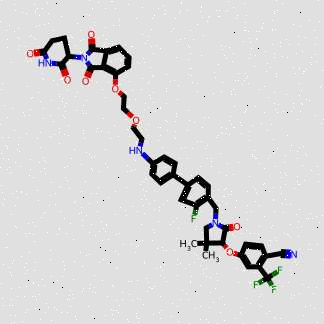 CC1(C)CN(Cc2ccc(-c3ccc(NCCOCCOc4cccc5c4C(=O)N(C4CCC(=O)NC4=O)C5=O)cc3)cc2F)C(=O)C1Oc1ccc(C#N)c(C(F)(F)F)c1